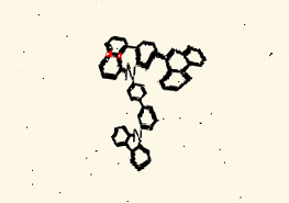 c1ccc(-c2ccc(-c3cc4ccccc4c4ccccc34)cc2N(c2ccccc2)c2ccc(-c3cccc(-n4c5ccccc5c5ccccc54)c3)cc2)cc1